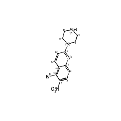 O=[N+]([O-])c1ccc2nc(N3CCNCC3)ccc2c1Br